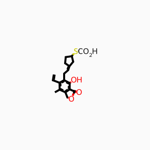 C=Cc1c(C)c2c(c(O)c1CC=C1CCC(SC(=O)O)C1)C(=O)OC2